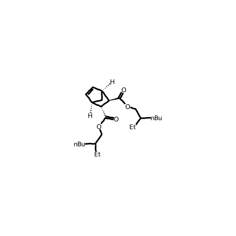 CCCCC(CC)COC(=O)[C@H]1[C@H](C(=O)OCC(CC)CCCC)[C@H]2C=C[C@@H]1C2